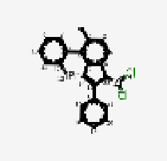 Cc1ccc2c(c1-c1ccccc1C(C)C)C=C(c1ccccc1)[CH]2[Zr]([Cl])[Cl]